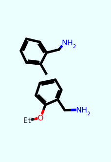 CCOc1ccccc1CN.Cc1ccccc1CN